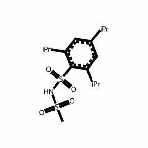 CC(C)c1cc(C(C)C)c(S(=O)(=O)NS(C)(=O)=O)c(C(C)C)c1